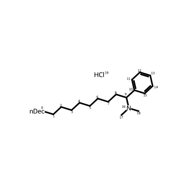 CCCCCCCCCCCCCCCCCCC(c1ccccc1)N(C)C.Cl